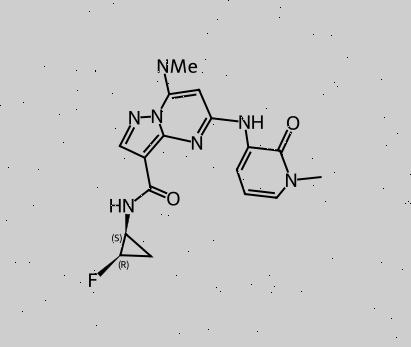 CNc1cc(Nc2cccn(C)c2=O)nc2c(C(=O)N[C@H]3C[C@H]3F)cnn12